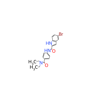 CCN(CC)C(=O)c1ccc(NC(=O)c2cc3cc(Br)ccc3[nH]2)cc1